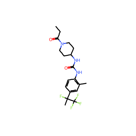 CCC(=O)N1CCC(NC(=O)Nc2ccc(C(C)(F)C(F)(F)F)cc2C)CC1